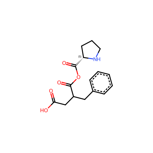 O=C(O)CC(Cc1ccccc1)C(=O)OC(=O)[C@@H]1CCCN1